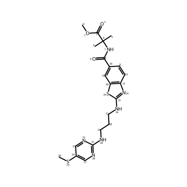 COC(=O)C(C)(C)NC(=O)c1ccc2nc(NCCCNc3ncc(SC)cn3)sc2c1